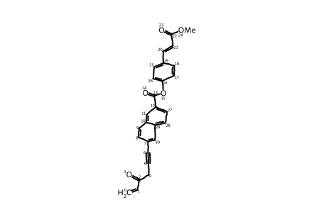 C=CC(=O)CC#Cc1ccc2cc(C(=O)Oc3ccc(/C=C/C(=O)OC)cc3)ccc2c1